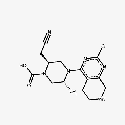 C[C@@H]1CN(C(=O)O)[C@@H](CC#N)CN1c1nc(Cl)nc2c1CCNC2